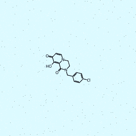 O=C1c2c(O)c(=O)ccn2CCN1Cc1ccc(Cl)cc1